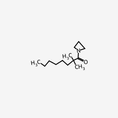 CCCCCCC(C)(C)C(=O)N1CCC1